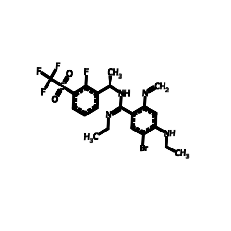 C=Nc1cc(NCC)c(Br)cc1/C(=N\CC)N[C@H](C)c1cccc(S(=O)(=O)C(F)(F)F)c1F